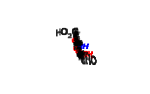 O=Cc1ccc(OCC(=O)Nc2ccc(OCCCC(=O)O)cc2)cc1O